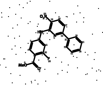 COC(=O)c1ccc(Nc2nc(-c3ccccc3)ccc2[N+](=O)[O-])cc1F